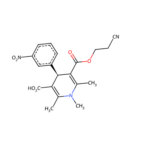 CC1=C(C(=O)O)[C@@H](c2cccc([N+](=O)[O-])c2)C(C(=O)OCCC#N)=C(C)N1C